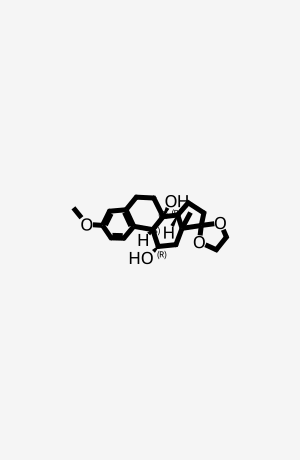 COc1ccc2c(c1)CC[C@]1(O)[C@@H]3CCC4(OCCO4)C3(C)C[C@@H](O)[C@H]21